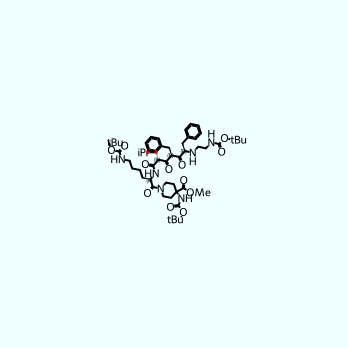 COC(=O)C1(NC(=O)OC(C)(C)C)CCN(C(=O)[C@@H](CCCCNC(=O)OC(C)(C)C)NC(=O)[C@H](CC(C)C)C(=O)[C@@H](Cc2ccccc2)C(=O)[C@@H](Cc2ccccc2)NCCNC(=O)OC(C)(C)C)CC1